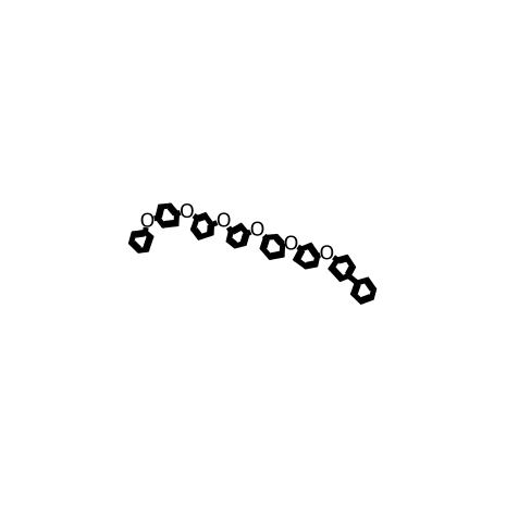 c1ccc(Oc2ccc(Oc3cccc(Oc4cccc(Oc5cccc(Oc6cccc(Oc7ccc(-c8ccccc8)cc7)c6)c5)c4)c3)cc2)cc1